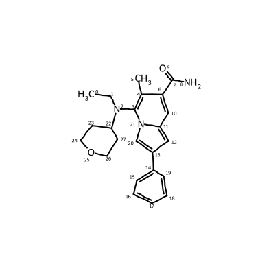 CCN(c1c(C)c(C(N)=O)cc2cc(-c3ccccc3)cn12)C1CCOCC1